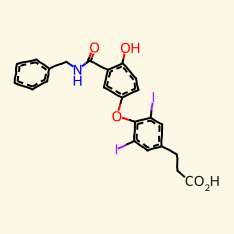 O=C(O)CCc1cc(I)c(Oc2ccc(O)c(C(=O)NCc3ccccc3)c2)c(I)c1